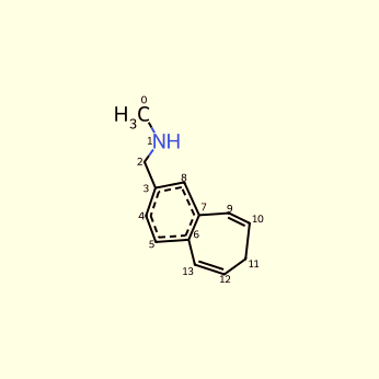 CNCc1ccc2c(c1)C=CCC=C2